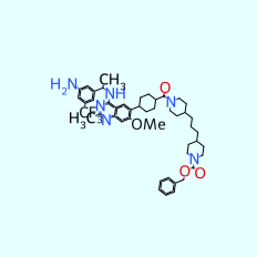 COc1cc2nc(C)nc(N[C@H](C)c3cc(N)cc(C(F)(F)F)c3)c2cc1C1CCC(C(=O)N2CCC(CCCC3CCN(C(=O)OCc4ccccc4)CC3)CC2)CC1